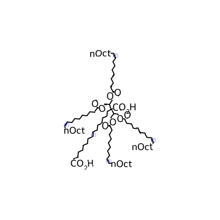 CCCCCCCC/C=C\CCCCCCCC(=O)OCC(COC(=O)CCCCCCC/C=C\CCCCCCCC)C(CCCCCC/C=C/CCCCCCCC(=O)O)(C(=O)O)C(COC(=O)CCCCCCC/C=C\CCCCCCCC)COC(=O)CCCCCCC/C=C\CCCCCCCC